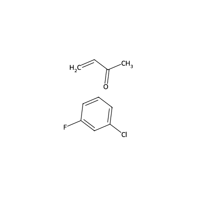 C=CC(C)=O.Fc1cccc(Cl)c1